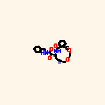 O=C(NCc1ccccc1)C(=O)[C@@H]1C/C=C\COCCOCc2ccccc2C(=O)N1